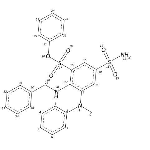 CN(c1ccccc1)c1cc(S(N)(=O)=O)cc(S(=O)(=O)Oc2ccccc2)c1NCc1ccccc1